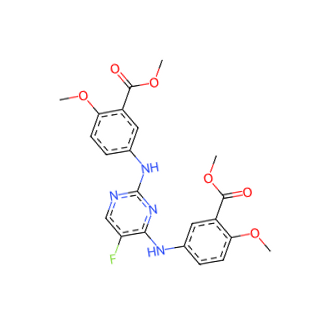 COC(=O)c1cc(Nc2ncc(F)c(Nc3ccc(OC)c(C(=O)OC)c3)n2)ccc1OC